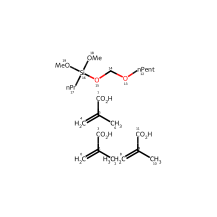 C=C(C)C(=O)O.C=C(C)C(=O)O.C=C(C)C(=O)O.CCCCCOCO[Si](CCC)(OC)OC